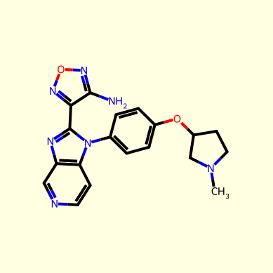 CN1CCC(Oc2ccc(-n3c(-c4nonc4N)nc4cnccc43)cc2)C1